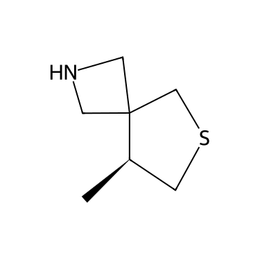 C[C@@H]1CSCC12CNC2